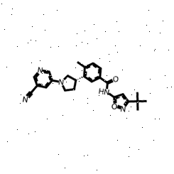 Cc1ccc(C(=O)Nc2cc(C(C)(C)C)no2)cc1[C@@H]1CCN(c2cncc(C#N)c2)C1